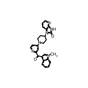 Cn1cc(C(=O)c2cc(N3CCC(n4c(=O)[nH]c5ncccc54)CC3)ccn2)c2ccccc21